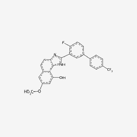 O=C(O)Oc1cc(O)c2c(ccc3nc(-c4cc(-c5ccc(C(F)(F)F)cc5)ccc4F)[nH]c32)c1